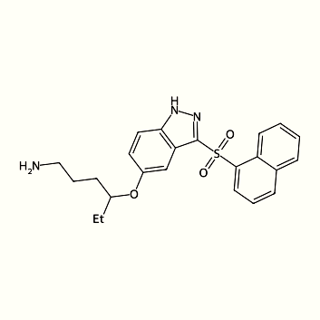 CCC(CCCN)Oc1ccc2[nH]nc(S(=O)(=O)c3cccc4ccccc34)c2c1